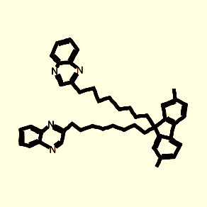 Cc1ccc2c(c1)C(CCCCCCCCc1cnc3ccccc3n1)(CCCCCCCCc1cnc3ccccc3n1)c1cc(C)ccc1-2